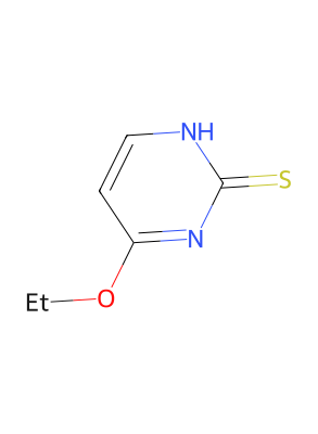 CCOc1cc[nH]c(=S)n1